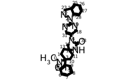 CN(C)C1(c2ccccc2)CCC2(CC1)CN(c1cnc(-n3ncc4ccccc43)nc1)C(=O)N2